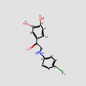 O=C(CNc1ccc(F)cc1)c1ccc(O)c(O)c1